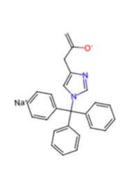 C=C([O-])Cc1cn(C(c2ccccc2)(c2ccccc2)c2ccccc2)cn1.[Na+]